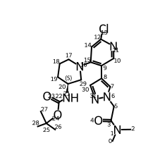 CN(C)C(=O)Cn1cc(-c2cnc(Cl)cc2N2CCC[C@H](NC(=O)OC(C)(C)C)C2)cn1